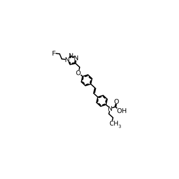 CCCN(C(=O)O)c1ccc(C=Cc2ccc(OCc3cn(CCF)nn3)cc2)cc1